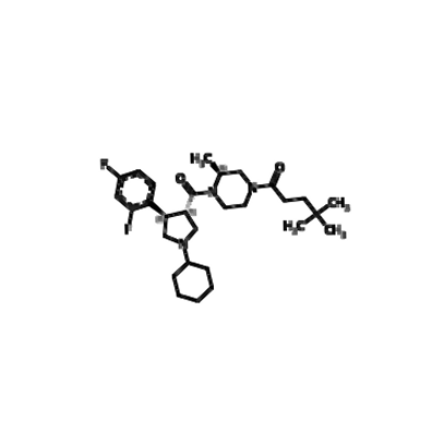 C[C@H]1CN(C(=O)CCC(C)(C)C)CCN1C(=O)[C@@H]1CN(C2CCCCC2)C[C@H]1c1ccc(F)cc1F